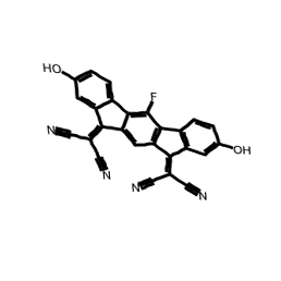 N#CC(C#N)=C1c2cc(O)ccc2-c2c1cc1c(c2F)-c2ccc(O)cc2C1=C(C#N)C#N